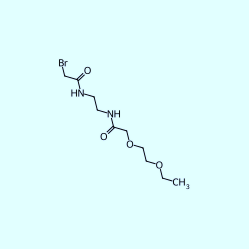 CCOCCOCC(=O)NCCNC(=O)CBr